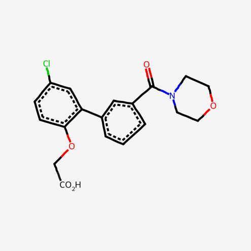 O=C(O)COc1ccc(Cl)cc1-c1cccc(C(=O)N2CCOCC2)c1